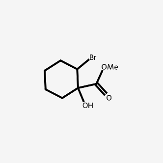 COC(=O)C1(O)CCCCC1Br